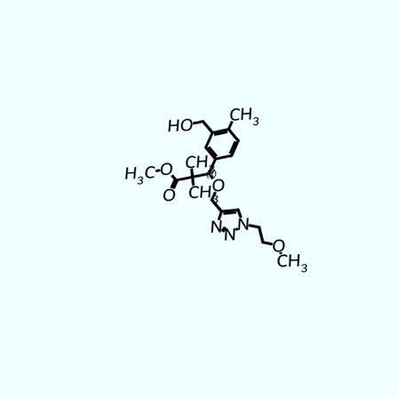 COCCn1cc(CO[C@H](c2ccc(C)c(CO)c2)C(C)(C)C(=O)OC)nn1